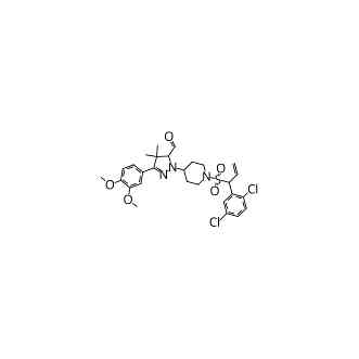 C=CC(c1cc(Cl)ccc1Cl)S(=O)(=O)N1CCC(N2N=C(c3ccc(OC)c(OC)c3)C(C)(C)C2C=O)CC1